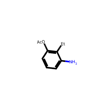 CCc1c(N)cccc1OC(C)=O